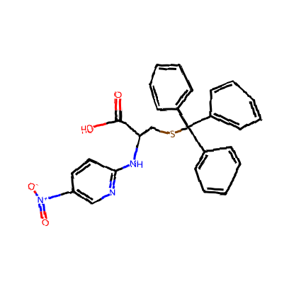 O=C(O)C(CSC(c1ccccc1)(c1ccccc1)c1ccccc1)Nc1ccc([N+](=O)[O-])cn1